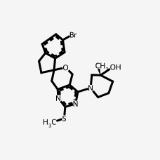 CSc1nc2c(c(N3CCC[C@@](C)(O)C3)n1)COC1(CCc3ccc(Br)cc31)C2